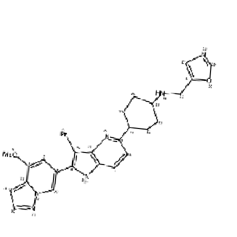 COc1cc(-c2[nH]c3ccc(C4CCC(NCc5cnco5)CC4)nc3c2C(C)C)cn2ncnc12